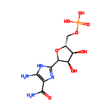 NC(=O)c1nc(C2O[C@H](COP(=O)(O)O)[C@@H](O)[C@H]2O)[nH]c1N